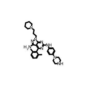 Cc1cccc(C)c1-c1nc(Nc2ccc(N3CCNCC3)cc2)nc2c1c(N)nn2CCCN1CCCCC1